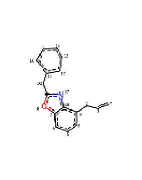 C=CCc1cccc2oc(Cc3ccccc3)nc12